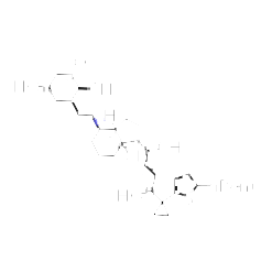 C=C1/C(=C\C=C2/CCC[C@]3(C)[C@@H]([C@H](C)/C=C/[C@@H](O)C4(c5ccc(CCCCC)s5)CC4)CC[C@@H]23)C[C@@H](O)C[C@@H]1O